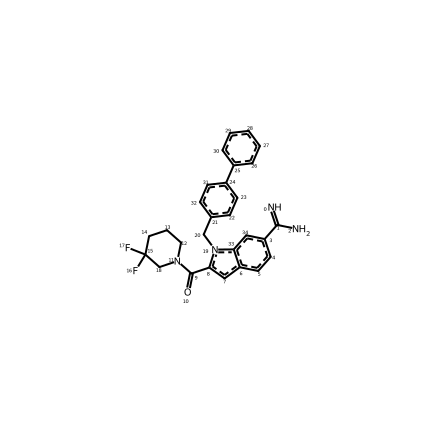 N=C(N)c1ccc2cc(C(=O)N3CCCC(F)(F)C3)n(Cc3ccc(-c4ccccc4)cc3)c2c1